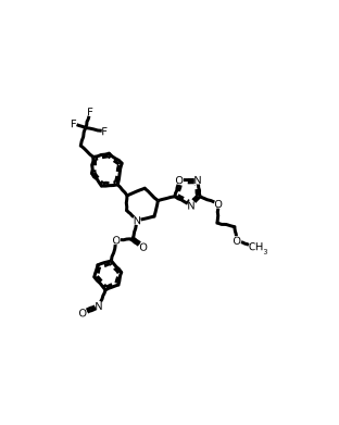 COCCOc1noc(C2CC(c3ccc(CC(F)(F)F)cc3)CN(C(=O)Oc3ccc(N=O)cc3)C2)n1